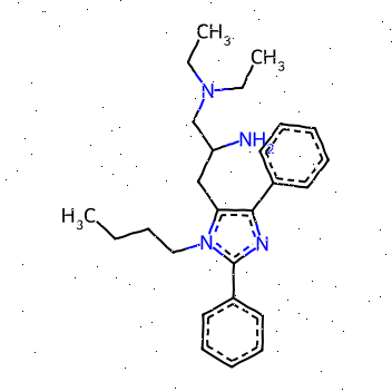 CCCCn1c(-c2ccccc2)nc(-c2ccccc2)c1CC(N)CN(CC)CC